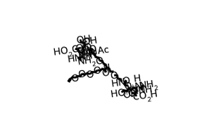 C#CCOCCOCCOCCOCCC(=O)N(CCCOCCCNC(=O)CO[C@@H]([C@@H]1OC(C(=O)O)=C[C@H](NC(=N)N)[C@H]1C)[C@H](O)CO)CCCOCCCNC(=O)CO[C@@H]([C@@H]1OC(C(=O)O)=C[C@H](NC(=N)N)[C@H]1NC(C)=O)[C@H](O)CO